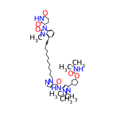 CC(C)NC(=O)O[C@H]1CCC(c2cc(NC(=O)c3ccnn3CCCCCCCCCCC#Cc3cccc4c3n(C)c(=O)n4C3CCC(=O)NC3=O)n(C(C)(C)C)n2)C1